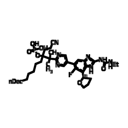 CCCCCCCCCCCCCCCC(CCC#N)(OP(=O)(O)O)C(C)(C)c1ncc(-c2cc3nc(NC(=O)NCC)[nH]c3c([C@H]3CCCO3)c2F)cn1